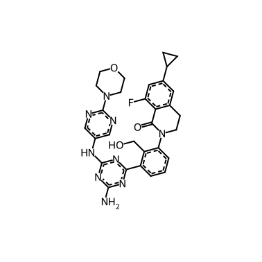 Nc1nc(Nc2cnc(N3CCOCC3)nc2)nc(-c2cccc(N3CCc4cc(C5CC5)cc(F)c4C3=O)c2CO)n1